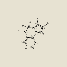 Cc1nc2n(c1C)C(C)(C)N(C)c1ccccc1-2